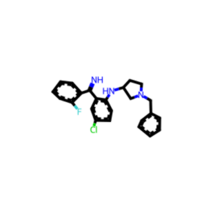 N=C(c1ccccc1F)c1cc(Cl)ccc1NC1CCN(Cc2ccccc2)C1